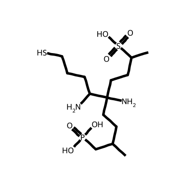 CC(CCC(N)(CCC(C)S(=O)(=O)O)C(N)CCCS)CP(=O)(O)O